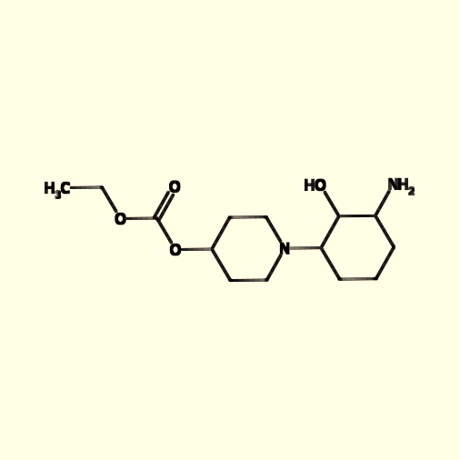 CCOC(=O)OC1CCN(C2CCCC(N)C2O)CC1